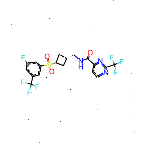 O=C(NC[C@H]1C[C@H](S(=O)(=O)c2cc(F)cc(C(F)(F)F)c2)C1)c1ccnc(C(F)(F)F)n1